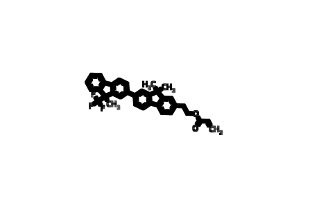 C=CC(=O)OCCc1ccc2c(c1)C(C)(C)c1cc(-c3ccc4c(c3)C(C)(C(F)(F)F)c3ccccc3-4)ccc1-2